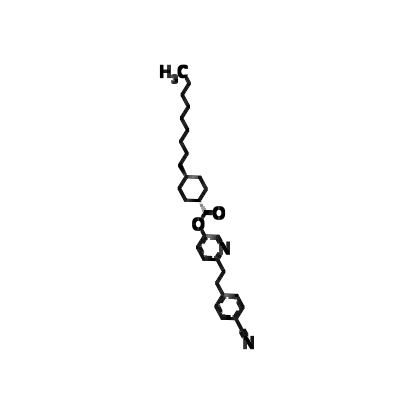 CCCCCCCCC[C@H]1CC[C@H](C(=O)Oc2ccc(CCc3ccc(C#N)cc3)nc2)CC1